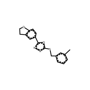 Cc1cccc(CSc2nnc(-c3ccc4c(c3)CCO4)o2)c1